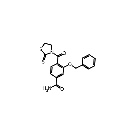 NC(=O)c1ccc(C(=O)N2CCSC2=S)c(OCc2ccccc2)c1